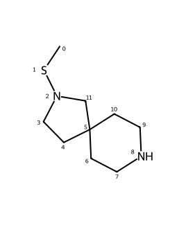 CSN1CCC2(CCNCC2)C1